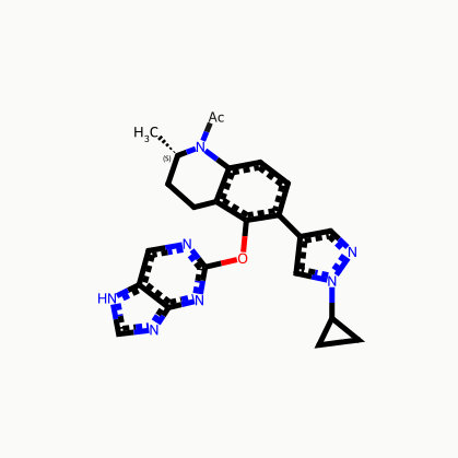 CC(=O)N1c2ccc(-c3cnn(C4CC4)c3)c(Oc3ncc4[nH]cnc4n3)c2CC[C@@H]1C